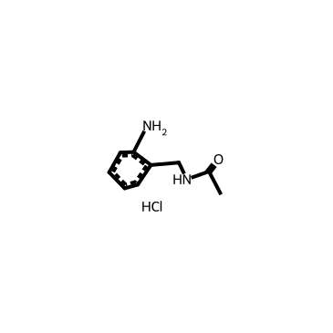 CC(=O)NCc1ccccc1N.Cl